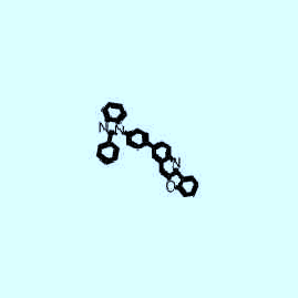 c1ccc(-c2nc3ccccc3n2-c2ccc(-c3ccc4nc5c(cc4c3)oc3ccccc35)cc2)cc1